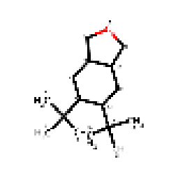 CC(C)(C)C1CC2COCC2CC1C(C)(C)C